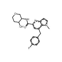 Cn1ccc2nc(C(=O)NC3COCCC3O)cc(Cc3ccc(F)cc3)c21